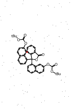 CC(C)(C)OC(=O)Oc1ccc2cccc(C3(c4cccc5ccc(OC(=O)OC(C)(C)C)cc45)OC(=O)c4ccccc43)c2c1